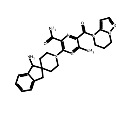 NC(=O)c1nc(C(=O)N2CCCn3nccc32)c(N)nc1N1CCC2(CC1)Cc1ccccc1C2N